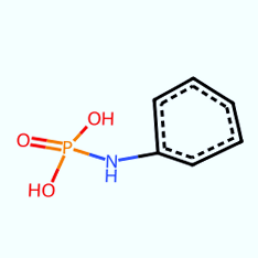 O=P(O)(O)Nc1ccccc1